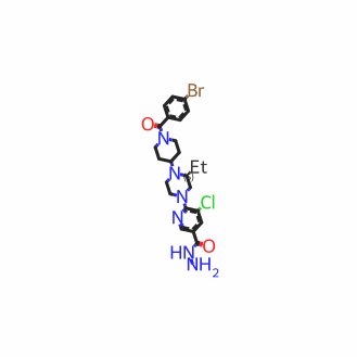 CC[C@H]1CN(c2ncc(C(=O)NN)cc2Cl)CCN1C1CCN(C(=O)c2ccc(Br)cc2)CC1